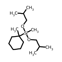 CC(C)CO[Si](C)(OCC(C)C)C1(C)CCCCC1